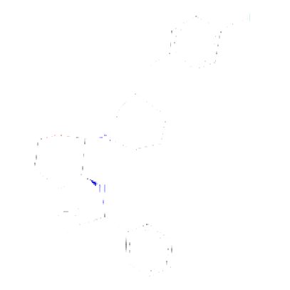 CC(N[C@@H]1C(N2CCC[C@@H](Cc3ccc(F)cc3)C2)OCC[C@H]1C=O)c1ccccc1